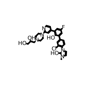 CN1C=CN(c2ccc(-c3cc(F)cc(-c4ccnc(N5CCN(C[C@H](O)CO)CC5)c4)c3O)cc2Cl)C1O